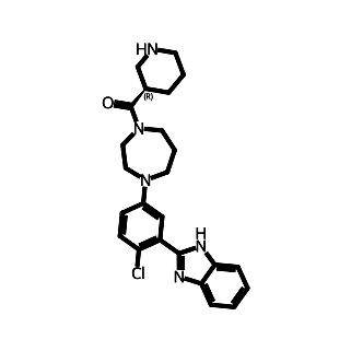 O=C([C@@H]1CCCNC1)N1CCCN(c2ccc(Cl)c(-c3nc4ccccc4[nH]3)c2)CC1